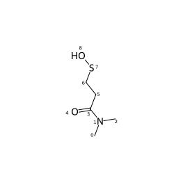 CN(C)C(=O)CCSO